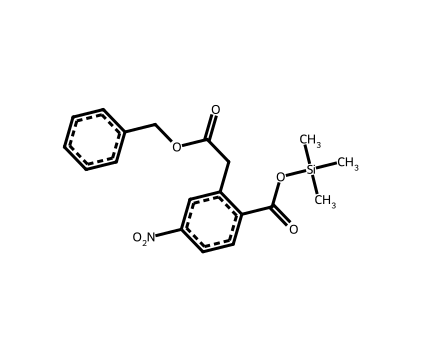 C[Si](C)(C)OC(=O)c1ccc([N+](=O)[O-])cc1CC(=O)OCc1ccccc1